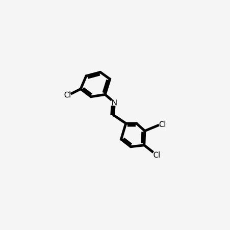 Clc1cccc(/N=C/c2ccc(Cl)c(Cl)c2)c1